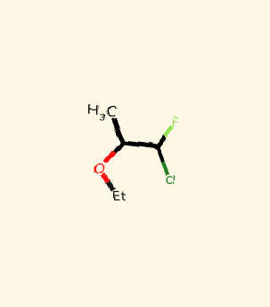 CCOC(C)[C](F)Cl